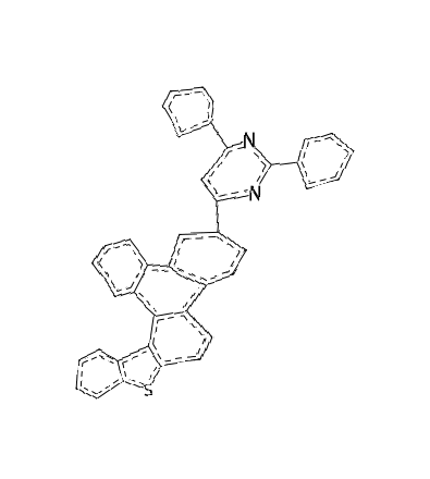 c1ccc(-c2cc(-c3ccc4c(c3)c3ccccc3c3c4ccc4sc5ccccc5c43)nc(-c3ccccc3)n2)cc1